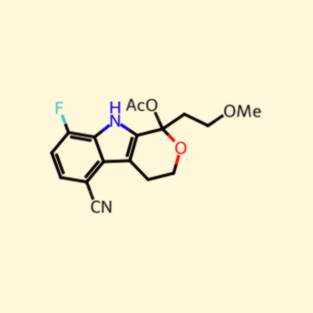 COCCC1(OC(C)=O)OCCc2c1[nH]c1c(F)ccc(C#N)c21